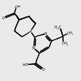 CC(C)(C)c1cc(C(=O)O)nc(N2CCC(C(=O)O)CC2)n1